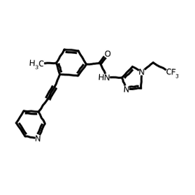 Cc1ccc(C(=O)Nc2cn(CC(F)(F)F)cn2)cc1C#Cc1cccnc1